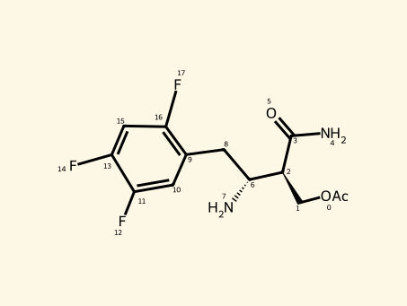 CC(=O)OC[C@H](C(N)=O)[C@H](N)Cc1cc(F)c(F)cc1F